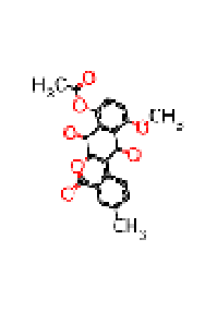 COc1ccc(OC(C)=O)c2c1C(=O)c1c(oc(=O)c3cc(C)ccc13)C2=O